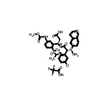 COC(=O)Nc1ccc(S(=O)(=O)C(C)C)c([C@@H](CC(=O)O)NC(=O)[C@@H](c2cc(Cl)ccc2F)N(N)c2ccc3cnccc3c2)c1.O=C(O)C(F)(F)F